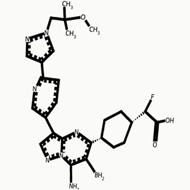 Bc1c(N)n2ncc(-c3ccc(-c4cnn(CC(C)(C)OC)c4)nc3)c2nc1[C@H]1CC[C@@H](C(F)C(=O)O)CC1